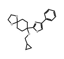 c1ccc(-c2csc(C3(OCC4CC4)CCC4(CC3)OCCO4)n2)cc1